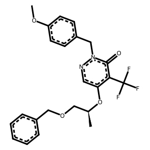 COc1ccc(Cn2ncc(O[C@@H](C)COCc3ccccc3)c(C(F)(F)F)c2=O)cc1